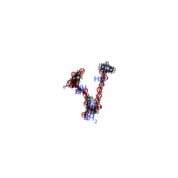 CCCC1O[C@@H]2CC3[C@@H]4CCC5=CC(=O)C=C[C@]5(C)C4[C@@H](O)C[C@]3(C)[C@]2(C(=O)COCNC(=O)CNC(=O)OCc2ccc(NC(=O)[C@H](CCCNC(N)=O)NC(=O)[C@H](C(C)C)C(C)(C)C(=O)CCOCCOCCOCCOCCNC(=O)CCC(=O)N3Cc4ccccc4/C=C(/C)c4ccccc43)cc2)O1